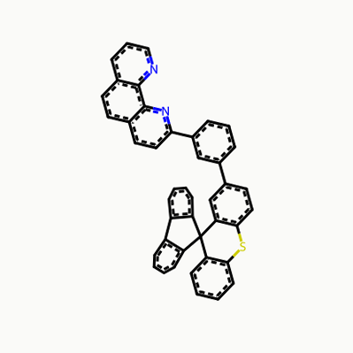 c1cc(-c2ccc3c(c2)C2(c4ccccc4S3)c3ccccc3-c3ccccc32)cc(-c2ccc3ccc4cccnc4c3n2)c1